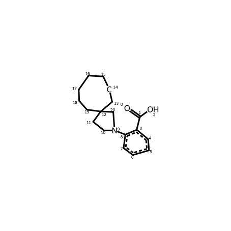 O=C(O)c1ccccc1N1CCC2(CCCCCCC2)C1